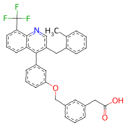 Cc1ccccc1Cc1cnc2c(C(F)(F)F)cccc2c1-c1cccc(OCc2cccc(CC(=O)O)c2)c1